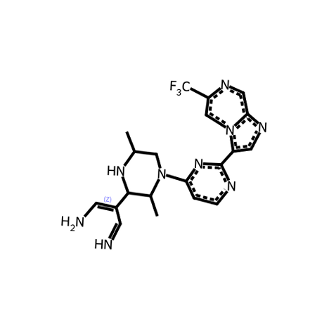 CC1CN(c2ccnc(-c3cnc4cnc(C(F)(F)F)cn34)n2)C(C)C(/C(C=N)=C/N)N1